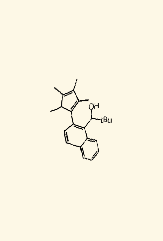 CC1=C(C)C(C)C(c2ccc3ccccc3c2C(O)C(C)(C)C)=C1C